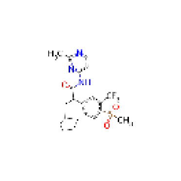 Cc1nccc(NC(=O)C(CC2CCCC2)c2ccc(S(C)(=O)=O)c(C(F)(F)F)c2)n1